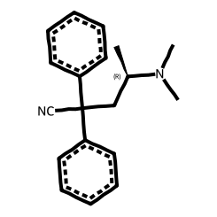 C[C@H](CC(C#N)(c1ccccc1)c1ccccc1)N(C)C